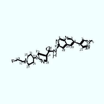 Cn1cc(-c2cnc3cnc(NC(=O)c4cnn(C5CCN(CCF)CC5)c4)cc3c2)cn1